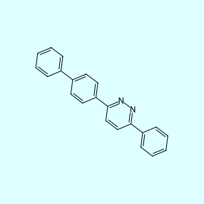 c1ccc(-c2ccc(-c3ccc(-c4ccccc4)nn3)cc2)cc1